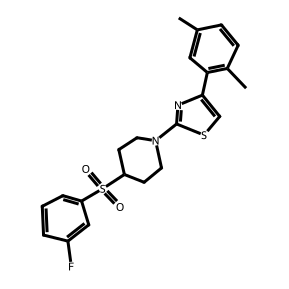 Cc1ccc(C)c(-c2csc(N3CCC(S(=O)(=O)c4cccc(F)c4)CC3)n2)c1